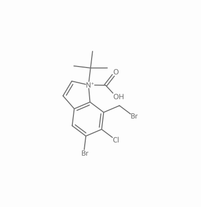 CC(C)(C)[N+]1(C(=O)O)C=Cc2cc(Br)c(Cl)c(CBr)c21